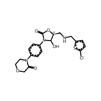 O=C1COCCN1c1ccc(N2C(=O)O[C@@H](CNCc3ccc(Cl)s3)C2O)cc1